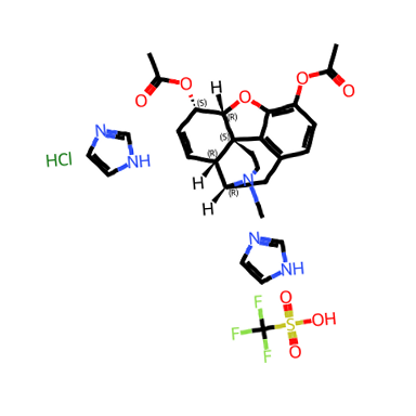 CC(=O)Oc1ccc2c3c1O[C@H]1[C@@H](OC(C)=O)C=C[C@H]4[C@@H](C2)N(C)CC[C@@]341.Cl.O=S(=O)(O)C(F)(F)F.c1c[nH]cn1.c1c[nH]cn1